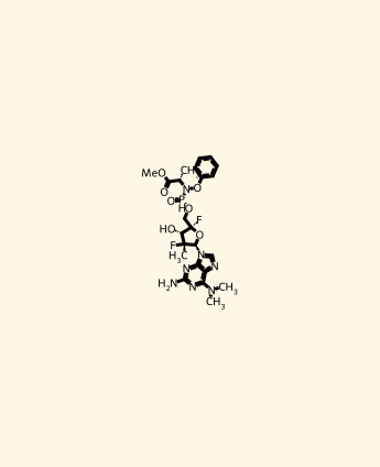 COC(=O)[C@H](C)N(Oc1ccccc1)[PH](=O)OC[C@@]1(F)O[C@@H](n2cnc3c(N(C)C)nc(N)nc32)[C@](C)(F)[C@@H]1O